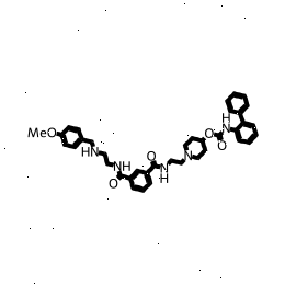 COc1ccc(CNCCNC(=O)c2cccc(C(=O)NCCN3CCC(OC(=O)Nc4ccccc4-c4ccccc4)CC3)c2)cc1